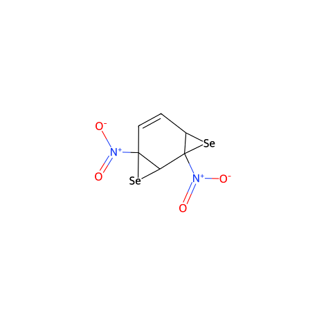 O=[N+]([O-])C12C=CC3[Se]C3([N+](=O)[O-])C1[Se]2